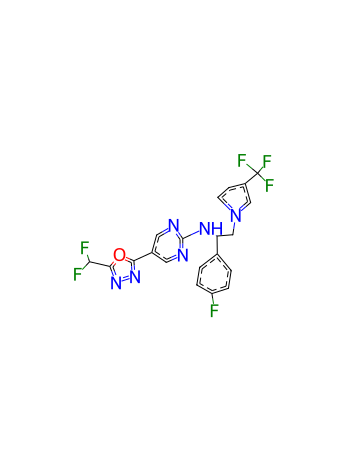 Fc1ccc(C(Cn2ccc(C(F)(F)F)c2)Nc2ncc(-c3nnc(C(F)F)o3)cn2)cc1